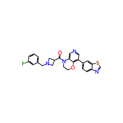 O=C(C1CN(Cc2cccc(F)c2)C1)N1CCOc2c(-c3ccc4ncsc4c3)cncc21